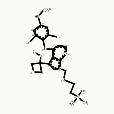 CCOC1(c2cn(COCC[Si](C)(C)C)c3nccc(Oc4c(F)cc(NC(=O)O)cc4F)c23)COC1